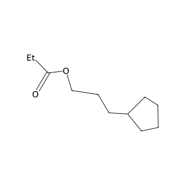 CCC(=O)OCCCC1CCCC1